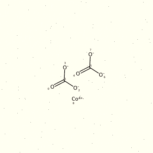 O=C([O-])[O-].O=C([O-])[O-].[Co+4]